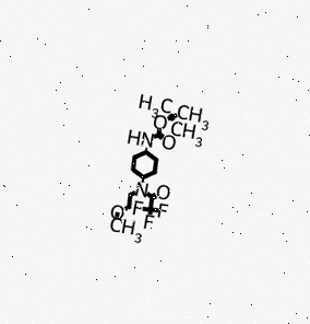 COCCN(C(=O)C(F)(F)F)[C@H]1CC[C@H](NC(=O)OC(C)(C)C)CC1